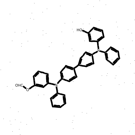 O=COc1cccc(N(c2ccccc2)c2ccc(-c3ccc(N(c4ccccc4)c4cccc(O)c4)cc3)cc2)c1